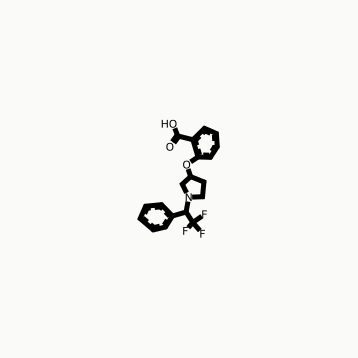 O=C(O)c1ccccc1OC1CCN(C(c2ccccc2)C(F)(F)F)C1